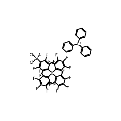 Fc1c(F)c(F)c([B-](c2c(F)c(F)c(F)c(F)c2F)(c2c(F)c(F)c(F)c(F)c2F)c2c(F)c(F)c([Si](Cl)(Cl)Cl)c(F)c2F)c(F)c1F.c1ccc([C+](c2ccccc2)c2ccccc2)cc1